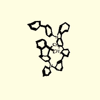 CC1(C)c2ccccc2-c2ccc(N(c3ccccc3)c3cccc(-c4cccc(-c5ccc6c(c5)c5ccccc5n6-c5ccc(-c6ccccc6)cc5)c4)c3)cc21